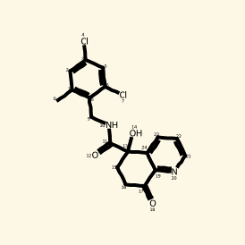 Cc1cc(Cl)cc(Cl)c1CNC(=O)C1(O)CCC(=O)c2ncccc21